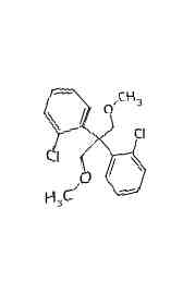 COCC(COC)(c1ccccc1Cl)c1ccccc1Cl